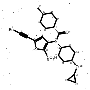 CC(C)(C)C#Cc1cc(N(C(=O)[C@H]2CC[C@H](C)CC2)[C@H]2CC[C@H](OC3CC3)CC2)c(C(=O)O)s1